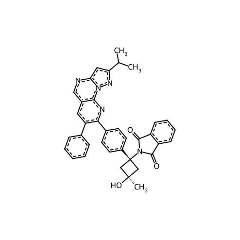 CC(C)c1cc2ncc3cc(-c4ccccc4)c(-c4ccc([C@]5(N6C(=O)c7ccccc7C6=O)C[C@](C)(O)C5)cc4)nc3n2n1